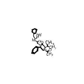 CC(=O)N1C=C(c2ccccc2)N(CC(=O)N[C@H](CO)Cc2ccccc2)C(=O)[C@H]1C(C)C